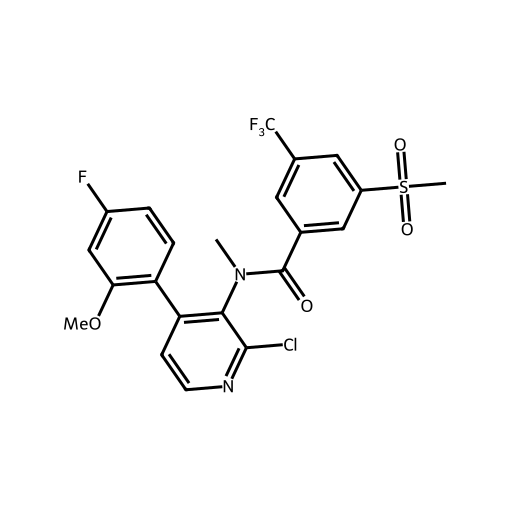 COc1cc(F)ccc1-c1ccnc(Cl)c1N(C)C(=O)c1cc(C(F)(F)F)cc(S(C)(=O)=O)c1